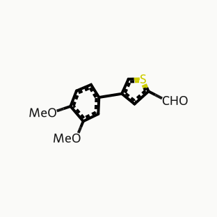 COc1ccc(-c2csc(C=O)c2)cc1OC